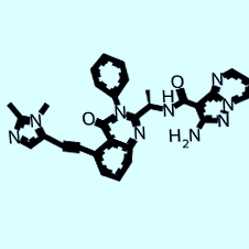 Cc1ncc(C#Cc2cccc3nc([C@@H](C)NC(=O)c4c(N)nn5cccnc45)n(-c4ccccc4)c(=O)c23)n1C